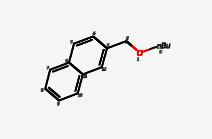 CCCCO[CH]c1ccc2ccccc2c1